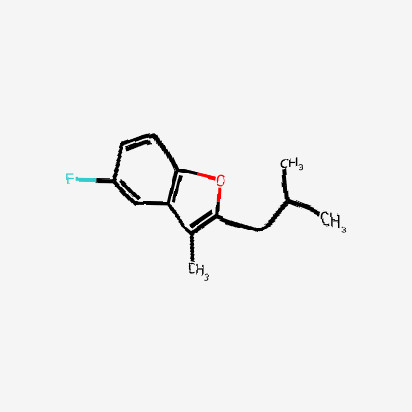 Cc1c(CC(C)C)oc2ccc(F)cc12